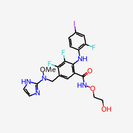 CON(Cc1cc(C(=O)NOCCO)c(Nc2ccc(I)cc2F)c(F)c1F)c1ncc[nH]1